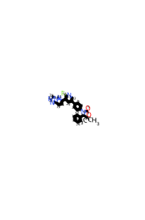 CC1(C)OC(=O)N(c2ccc(-c3cnc(F)c(-c4ccc5nncn5n4)c3)cc2)C1c1ccccc1